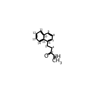 CNC(=O)CCc1cccc2ccccc12